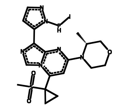 C[C@@H]1COCCN1c1cc(C2(S(C)(=O)=O)CC2)n2cnc(-c3ccnn3PI)c2n1